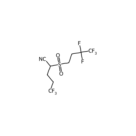 N#CC(CCC(F)(F)F)S(=O)(=O)CCC(F)(F)C(F)(F)F